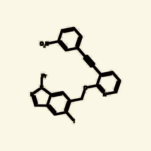 CC(C)n1ncc2cc(I)c(COc3ncccc3C#Cc3cccc([N+](=O)[O-])c3)cc21